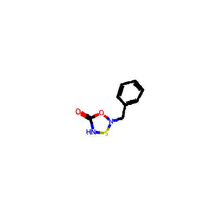 O=C1NSN(Cc2ccccc2)O1